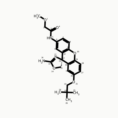 COCC(=O)Nc1ccc2c(c1)[C@@]1(COC(N)=N1)c1cc(OCC(C)(C)C)ccc1O2